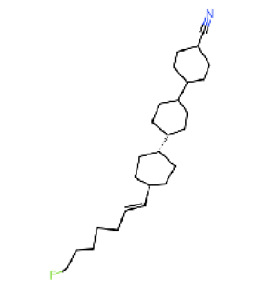 N#CC1CCC(C2CCC([C@H]3CC[C@H](/C=C/CCCCCF)CC3)CC2)CC1